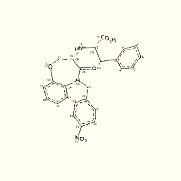 O=C(O)[C@H](Cc1ccccc1)N[C@H]1COc2ccccc2N(Cc2ccc([N+](=O)[O-])cc2)C1=O